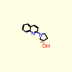 O[C@H]1CCN(c2ccc3ccccc3n2)C1